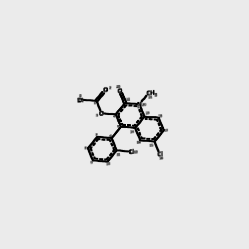 CCC(=O)Oc1c(-c2ccccc2Cl)c2cc(Cl)ccc2n(C)c1=O